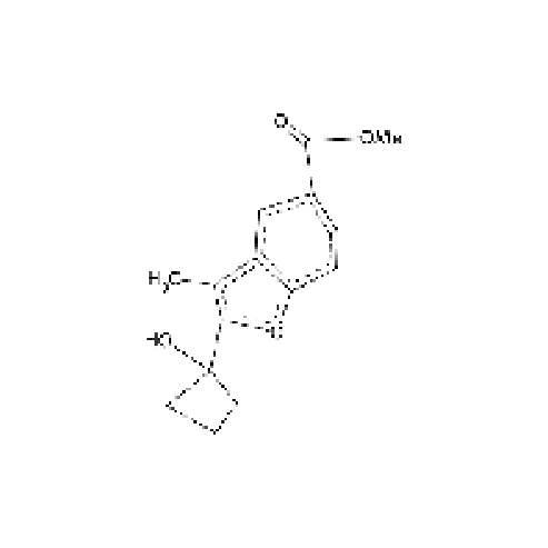 COC(=O)c1ccc2oc(C3(O)CCC3)c(C)c2c1